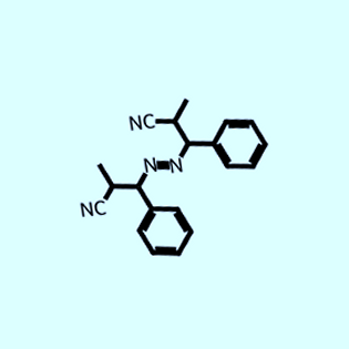 CC(C#N)C(N=NC(c1ccccc1)C(C)C#N)c1ccccc1